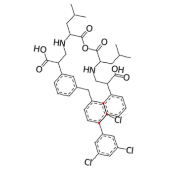 CC(C)CC(NCC(C(=O)O)c1cccc(Cc2cccc(Cl)c2)c1)C(=O)OC(=O)C(CC(C)C)NCC(C(=O)O)c1cccc(Cc2cc(Cl)cc(Cl)c2)c1